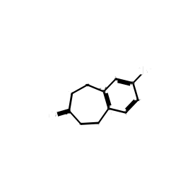 O=C1CCc2ccc(Br)cc2CC1